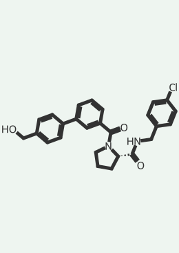 O=C(NCc1ccc(Cl)cc1)[C@@H]1CCCN1C(=O)c1cccc(-c2ccc(CO)cc2)c1